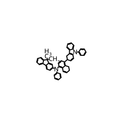 CC1(C)c2ccccc2-c2ccc(N(c3ccccc3)c3ccc(C4C=Cc5c(c6ccccc6n5-c5ccccc5)C4)c4c3C=CCC4)cc21